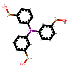 OSc1cccc(P(c2cccc(SO)c2)c2cccc(SO)c2)c1